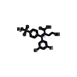 CS(=O)(=O)c1ccc(/C(=C(/CCO)C(=O)O)c2cc(Cl)cc(Cl)c2)cc1